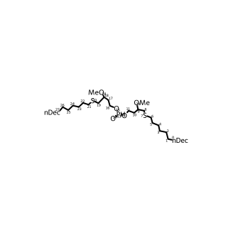 CCCCCCCCCCCCCCCCSCC(CCO[PH](=O)OCCC(CSCCCCCCCCCCCCCCCC)OC)OC